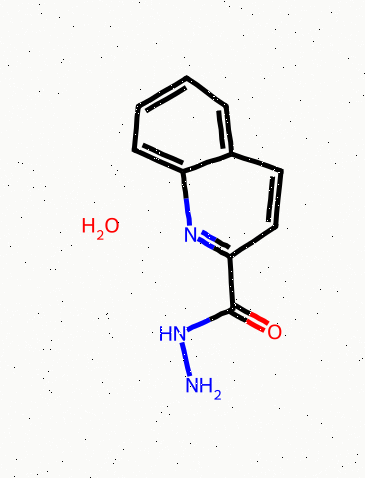 NNC(=O)c1ccc2ccccc2n1.O